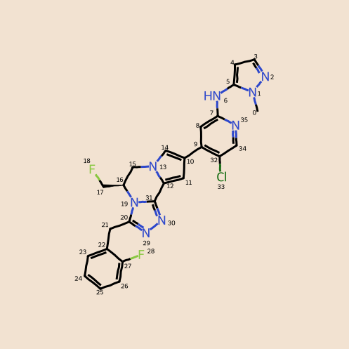 Cn1nccc1Nc1cc(-c2cc3n(c2)C[C@H](CF)n2c(Cc4ccccc4F)nnc2-3)c(Cl)cn1